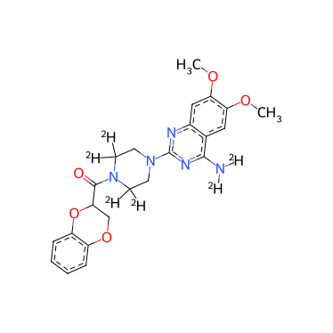 [2H]N([2H])c1nc(N2CC([2H])([2H])N(C(=O)C3COc4ccccc4O3)C([2H])([2H])C2)nc2cc(OC)c(OC)cc12